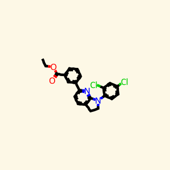 CCOC(=O)c1cccc(-c2ccc3c(n2)N(c2ccc(Cl)cc2Cl)CC3)c1